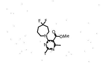 COC(=O)c1c(C)nc(I)nc1N1CCCC(F)(F)CC1